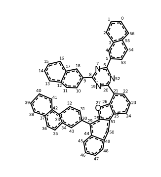 c1ccc2cc(-c3nc(-c4ccc5ccccc5c4)nc(-c4cccc5c4oc4c(-c6ccc7c(ccc8ccccc87)c6)c6ccccc6cc45)n3)ccc2c1